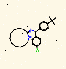 CC(C)(C)c1ccc(C(/N=C2/CCCCCCCCCCN2)c2ccc(Cl)cc2)cc1